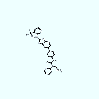 NCC(C(=O)Nc1ccc(-c2ccc3nc(Nc4ccccc4C(F)(F)F)nn3c2)cc1)c1ccccc1